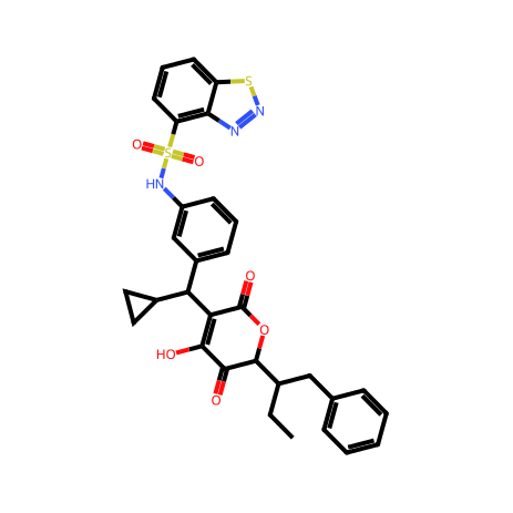 CCC(Cc1ccccc1)C1OC(=O)C(C(c2cccc(NS(=O)(=O)c3cccc4snnc34)c2)C2CC2)=C(O)C1=O